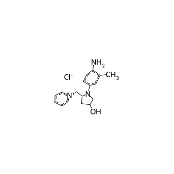 Cc1cc(N2CC(O)CC2C[n+]2ccccc2)ccc1N.[Cl-]